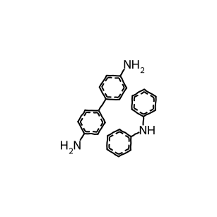 Nc1ccc(-c2ccc(N)cc2)cc1.c1ccc(Nc2ccccc2)cc1